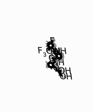 O=C(Nc1ccccc1OCC(O)CO)c1cccc2[nH]c(-c3cc(F)ccc3C(F)(F)F)nc12